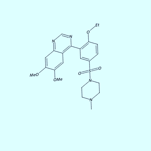 CCOc1ccc(S(=O)(=O)N2CCN(C)CC2)cc1-c1ncnc2cc(OC)c(OC)cc12